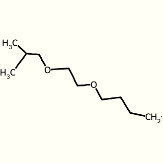 [CH2]CCCOCCOCC(C)C